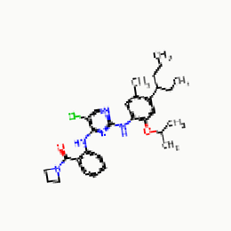 CCCC(CC)c1cc(OC(C)C)c(Nc2ncc(Cl)c(Nc3ccccc3C(=O)N3CCC3)n2)cc1C